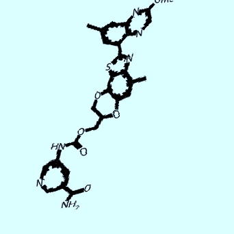 COc1cnc2c(-c3nc4c(C)cc5c(c4s3)OCC(COC(=O)Nc3cncc(C(N)=O)c3)O5)cc(C)cc2n1